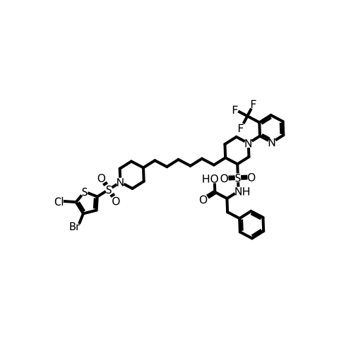 O=C(O)C(Cc1ccccc1)NS(=O)(=O)C1CN(c2ncccc2C(F)(F)F)CCC1CCCCCCC1CCN(S(=O)(=O)c2cc(Br)c(Cl)s2)CC1